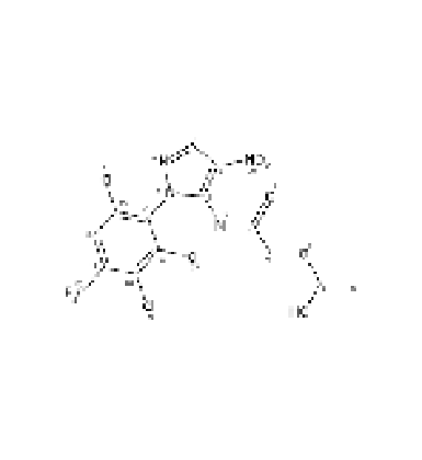 CC(O)OCC(=O)Nc1c([N+](=O)[O-])cnn1-c1c(Cl)cc(C(F)(F)F)c(Cl)c1Cl